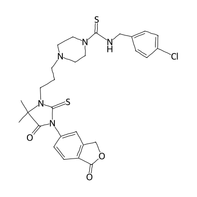 CC1(C)C(=O)N(c2ccc3c(c2)COC3=O)C(=S)N1CCCN1CCN(C(=S)NCc2ccc(Cl)cc2)CC1